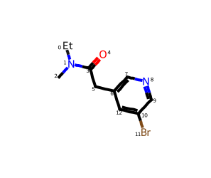 CCN(C)C(=O)Cc1cncc(Br)c1